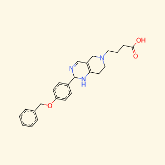 O=C(O)CCCN1CCC2=C(C=NC(c3ccc(OCc4ccccc4)cc3)N2)C1